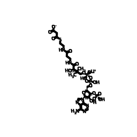 CC(C)(COP(=O)(O)OP(=O)(O)OC[C@H]1O[C@@H](n2cnc3c(N)ncnc32)[C@H](O)[C@@H]1OP(=O)(O)O)[C@@H](O)C(=O)NCCC(=O)NCCSC(=O)CC(=O)[O-].[Li+]